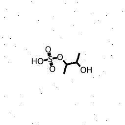 CC(O)C(C)OS(=O)(=O)O